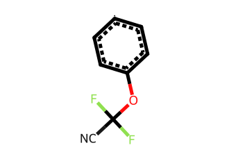 N#CC(F)(F)Oc1cc[c]cc1